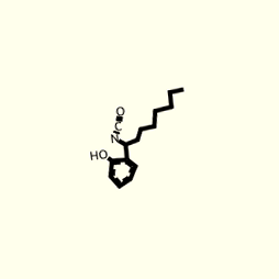 CCCCCCCC(N=C=O)c1ccccc1O